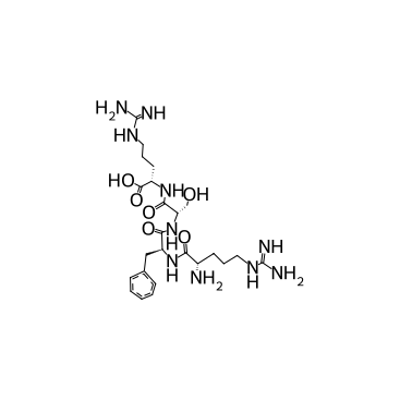 N=C(N)NCCC[C@H](NC(=O)[C@H](CO)NC(=O)[C@H](Cc1ccccc1)NC(=O)[C@@H](N)CCCNC(=N)N)C(=O)O